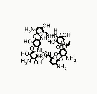 CCN[C@@H]1C[C@H](N)[C@@H](OC2OC(CN)=CCC2N)[C@H](O)[C@H]1O[C@H]1OC[C@](C)(O)[C@H](NC)[C@H]1O.NC[C@H]1O[C@H](O[C@H]2[C@H](O)[C@@H](O[C@H]3O[C@H](CO)[C@@H](O)[C@H](N)[C@H]3O)[C@H](N)C[C@@H]2N)[C@H](N)C[C@@H]1O